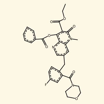 CCOC(=O)c1c(OC(=O)c2ccccc2)c2ncc(Cc3ccc(F)cc3C(=O)N3CCOCC3)cc2n(C)c1=O